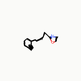 [CH](Cc1ccccc1)Cc1ncco1